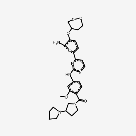 COc1cc(Nc2nccc(-c3ccc(OC4CCOCC4)c(N)c3)n2)ccc1C(=O)N1CCC(N2CCCC2)C1